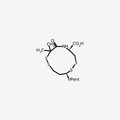 CCCCC[C@H]1CCSSC(C)(C)C(=O)N[C@@H](C(=O)O)CSS1